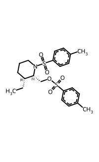 CC[C@@H]1CCCN(S(=O)(=O)c2ccc(C)cc2)[C@@H]1COS(=O)(=O)c1ccc(C)cc1